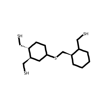 SCC1CCCC[C@H]1CSC1CC[C@@H](CS)[C@H](CS)C1